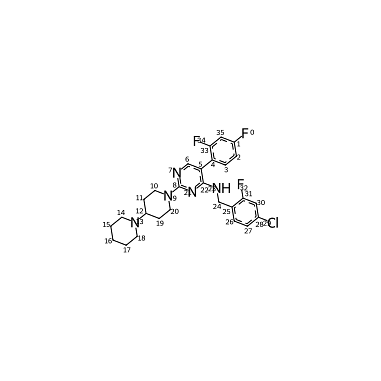 Fc1ccc(-c2cnc(N3CCC(N4CCCCC4)CC3)nc2NCc2ccc(Cl)cc2F)c(F)c1